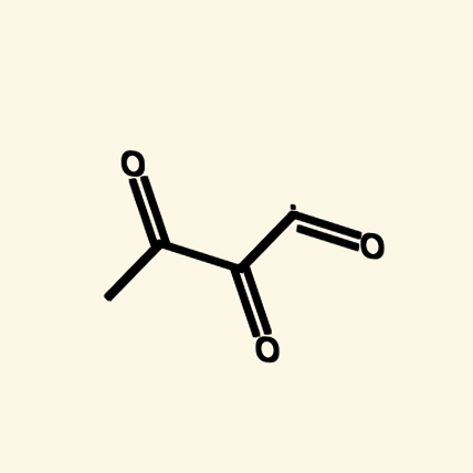 CC(=O)C(=O)[C]=O